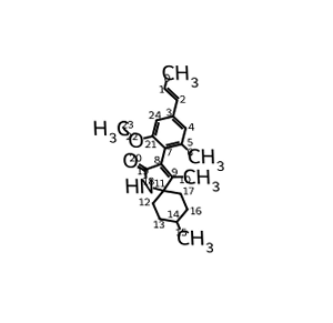 C/C=C/c1cc(C)c(C2=C(C)C3(CCC(C)CC3)NC2=O)c(OC)c1